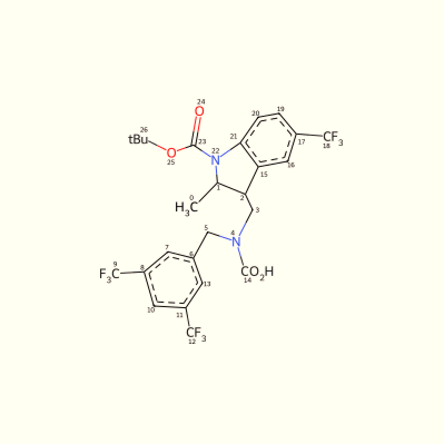 CC1C(CN(Cc2cc(C(F)(F)F)cc(C(F)(F)F)c2)C(=O)O)c2cc(C(F)(F)F)ccc2N1C(=O)OC(C)(C)C